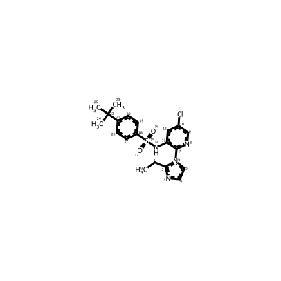 CCc1nccn1-c1ncc(Cl)cc1NS(=O)(=O)c1ccc(C(C)(C)C)cc1